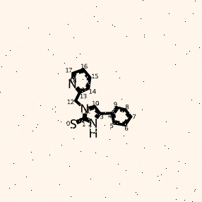 S=c1[nH]c(-c2ccccc2)cn1Cc1ccccn1